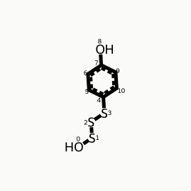 OSSSc1ccc(O)cc1